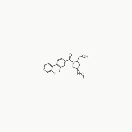 CO/N=C1\CC(CO)N(C(=O)c2ccc(-c3ccccc3C)c(C)c2)C1